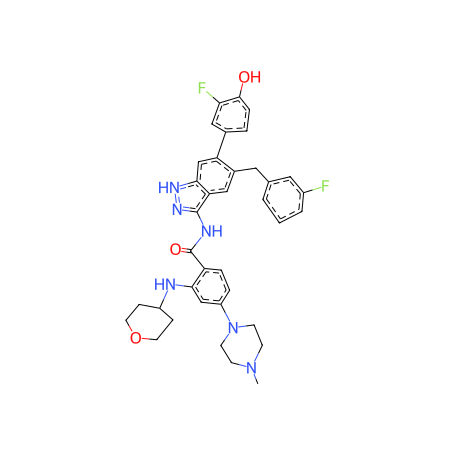 CN1CCN(c2ccc(C(=O)Nc3n[nH]c4cc(-c5ccc(O)c(F)c5)c(Cc5cccc(F)c5)cc34)c(NC3CCOCC3)c2)CC1